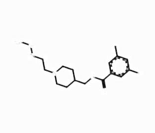 Cc1cc(F)cc(C(=O)NCC2CCN(CCNSC(C)(C)C)CC2)c1